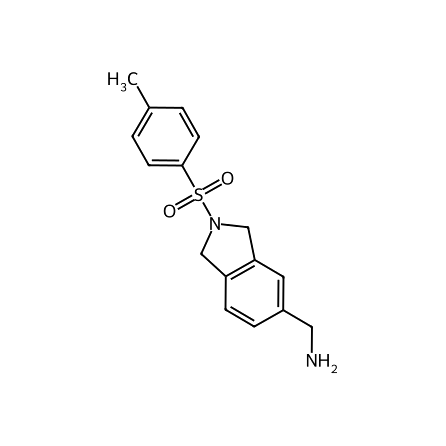 Cc1ccc(S(=O)(=O)N2Cc3ccc(CN)cc3C2)cc1